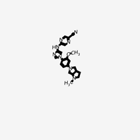 COc1cc(N2CC3CCN(C)C3C2)ccc1-n1cnc(Nc2cnc(C#N)cn2)c1